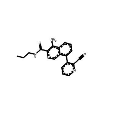 CCCNC(=O)c1ncc2c(-c3cccnc3C#N)cccc2c1N